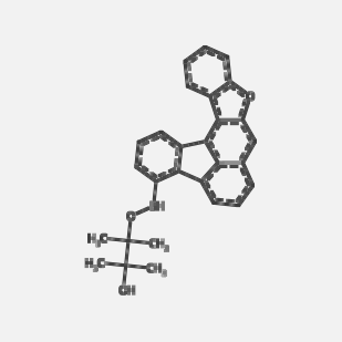 CC(C)(O)C(C)(C)OBc1cccc2c1-c1cccc3cc4oc5ccccc5c4c-2c13